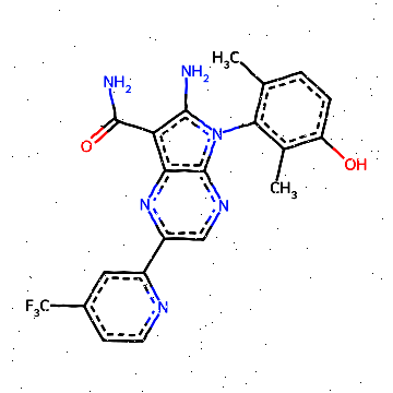 Cc1ccc(O)c(C)c1-n1c(N)c(C(N)=O)c2nc(-c3cc(C(F)(F)F)ccn3)cnc21